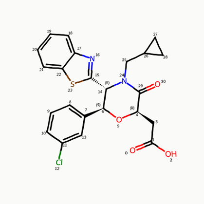 O=C(O)C[C@H]1O[C@@H](c2cccc(Cl)c2)[C@H](c2nc3ccccc3s2)N(CC2CC2)C1=O